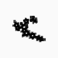 O=C(Nc1nccs1)C(c1ncn2c1C[C@@H](F)C2)N1Cc2c(F)cc(-c3ccc(N4CC5(CNC5)C4)cc3)cc2C1=O.O=C(O)C(F)(F)F